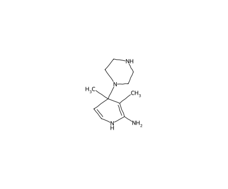 CC1=C(N)NC=CC1(C)N1CCNCC1